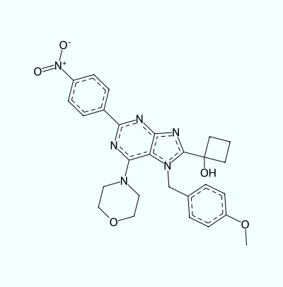 COc1ccc(Cn2c(C3(O)CCC3)nc3nc(-c4ccc([N+](=O)[O-])cc4)nc(N4CCOCC4)c32)cc1